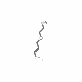 CC=CCOCCCCC